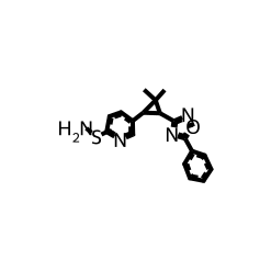 CC1(C)C(c2ccc(SN)nc2)C1c1noc(-c2ccccc2)n1